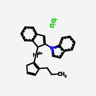 CCCC1=[C]([Hf+2][CH]2C(n3ccc4ccccc43)=Cc3ccccc32)CC=C1.[Cl-].[Cl-]